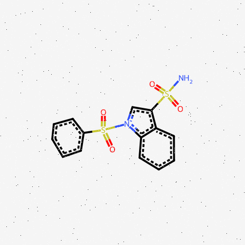 NS(=O)(=O)c1cn(S(=O)(=O)c2ccccc2)c2ccccc12